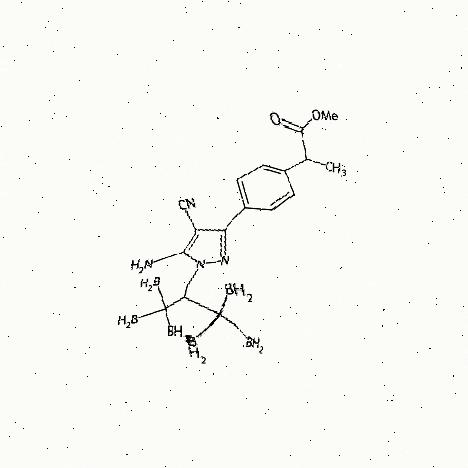 BC(B)(B)C(n1nc(-c2ccc(C(C)C(=O)OC)cc2)c(C#N)c1N)C(B)(B)B